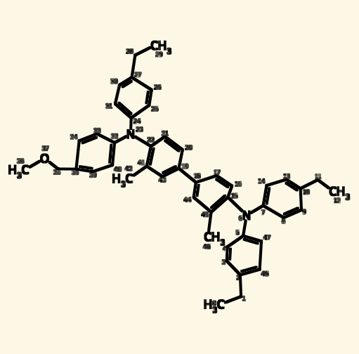 CCc1ccc(N(c2ccc(CC)cc2)c2ccc(-c3ccc(N(c4ccc(CC)cc4)c4ccc(COC)cc4)c(C)c3)cc2C)cc1